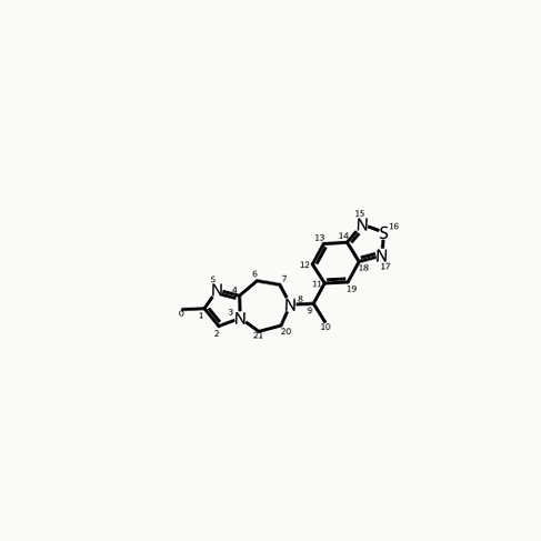 Cc1cn2c(n1)CCN(C(C)c1ccc3nsnc3c1)CC2